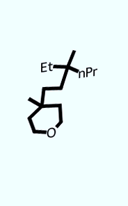 CCCC(C)(CC)CCC1(C)CCOCC1